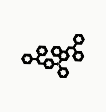 C(=C(c1ccccc1)c1ccccc1)c1ccc(N(c2ccccc2)c2ccc(C=C(c3ccccc3)c3ccccc3)c3ccccc23)cc1